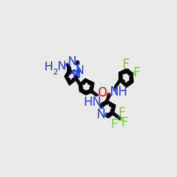 Nc1ncnn2c(-c3ccc(CNc4ncc(C(F)(F)F)cc4C(=O)NCc4ccc(F)c(F)c4)cc3)ccc12